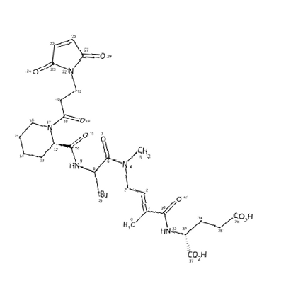 C/C(=C\CN(C)C(=O)C(NC(=O)[C@H]1CCCCN1C(=O)CCN1C(=O)C=CC1=O)C(C)(C)C)C(=O)N[C@H](CCC(=O)O)C(=O)O